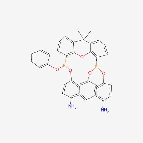 CC1(C)c2cccc(P(Oc3ccccc3)Oc3ccc(N)cc3)c2Oc2c(P(Oc3ccccc3)Oc3ccc(N)cc3)cccc21